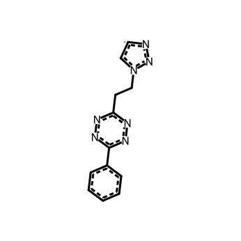 [c]1cn(CCc2nnc(-c3ccccc3)nn2)nn1